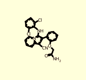 N#Cc1c(-c2ccccc2OCC(N)=O)c(Nc2c(Cl)cccc2Cl)n2ccccc12